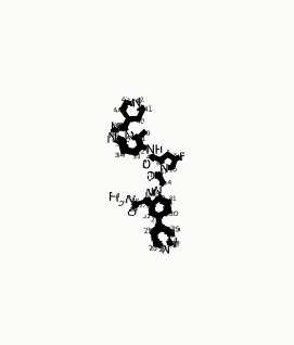 Cc1c(NC(=O)C2CC(F)CN2C(=O)Cn2nc(C(N)=O)c3cc(-c4ccnnc4)ccc32)ccc2nnc(C3CC=NCC3)n12